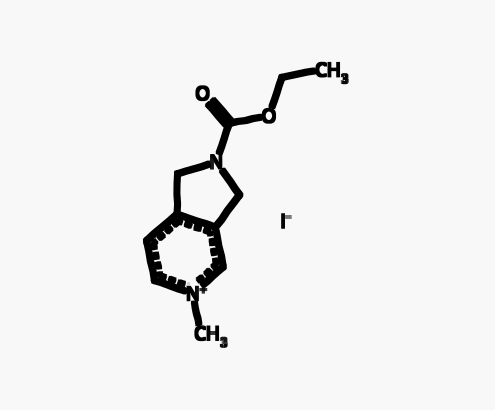 CCOC(=O)N1Cc2cc[n+](C)cc2C1.[I-]